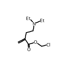 C=C(CCN(CC)CC)C(=O)OCCl